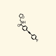 O=C(NC[C@H]1CCCO1)c1ccc(C#Cc2ccc(F)cc2)cc1